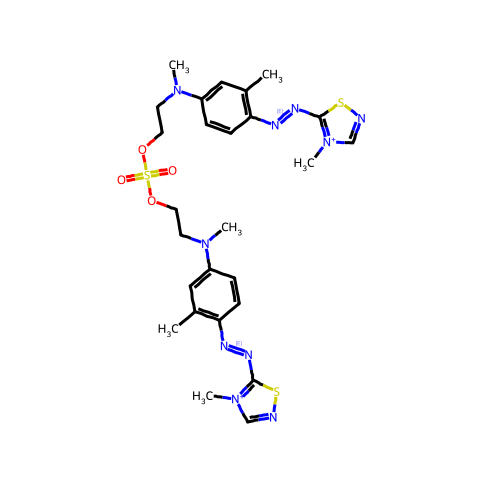 Cc1cc(N(C)CCOS(=O)(=O)OCCN(C)c2ccc(/N=N/c3snc[n+]3C)c(C)c2)ccc1/N=N/c1snc[n+]1C